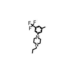 CCCN1CCN(c2cc(C)cc(C(F)(F)F)c2)CC1